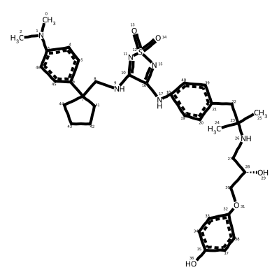 CN(C)c1ccc(C2(CNC3=NS(=O)(=O)N=C3Nc3ccc(CC(C)(C)NC[C@H](O)COc4ccc(O)cc4)cc3)CCCC2)cc1